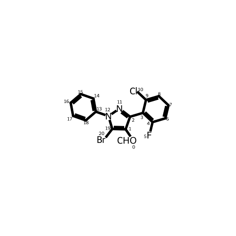 O=Cc1c(-c2c(F)cccc2Cl)nn(-c2ccccc2)c1Br